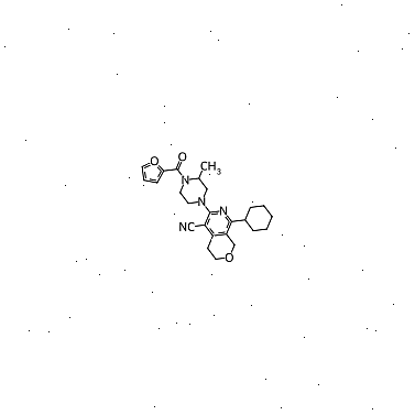 CC1CN(c2nc(C3CCCCC3)c3c(c2C#N)CCOC3)CCN1C(=O)c1ccco1